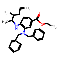 C=CCC(C)C(C)Nc1ccc(C(=O)OCC)cc1N(Cc1ccccc1)Cc1ccccc1